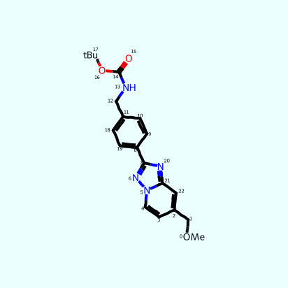 COCc1ccn2nc(-c3ccc(CNC(=O)OC(C)(C)C)cc3)nc2c1